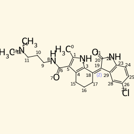 Cc1[nH]c2c(c1C(=O)NCCCN(C)C)CCC/C2=C1/C(=O)Nc2ccc(Cl)cc21